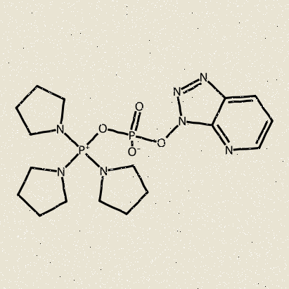 O=P([O-])(On1nnc2cccnc21)O[P+](N1CCCC1)(N1CCCC1)N1CCCC1